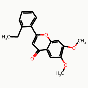 CCc1ccccc1-c1cc(=O)c2cc(OC)c(OC)cc2o1